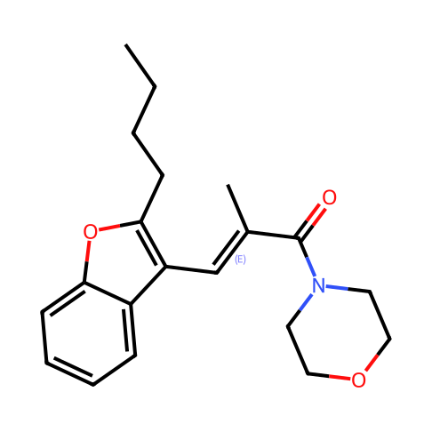 CCCCc1oc2ccccc2c1/C=C(\C)C(=O)N1CCOCC1